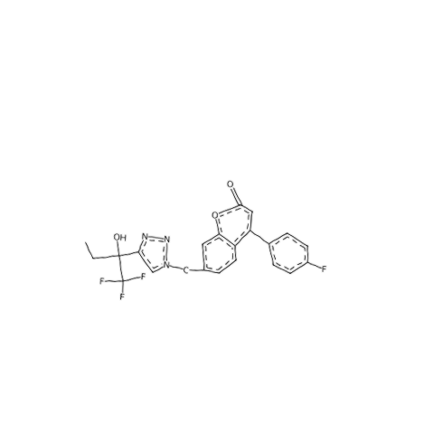 CCC(O)(c1cn(Cc2ccc3c(-c4ccc(F)cc4)cc(=O)oc3c2)nn1)C(F)(F)F